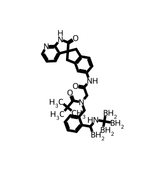 BC(NC(B)(B)B)c1ccccc1CN(CC(=O)Nc1ccc2c(c1)CC1(C2)C(=O)Nc2ncccc21)C(=O)C(C)(C)C